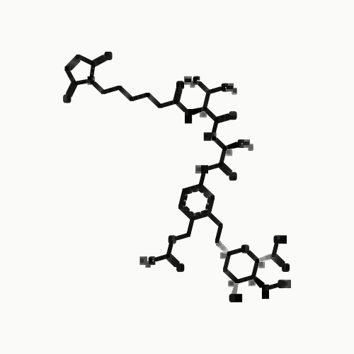 CC(=O)OCc1ccc(NC(=O)[C@H](C)NC(=O)[C@@H](NC(=O)CCCCCN2C(=O)C=CC2=O)C(C)C)cc1CC[C@H]1C[C@@H](O)[C@H](NO)[C@@H](C(=O)O)O1